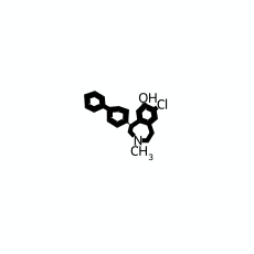 CN1CCc2cc(Cl)c(O)cc2[C@@H](c2ccc(-c3ccccc3)cc2)C1